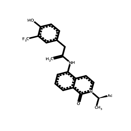 C=C(Cc1ccc(O)c(C(F)(F)F)c1)Nc1cccc2c(=O)n([C@H](C)C(C)=O)ccc12